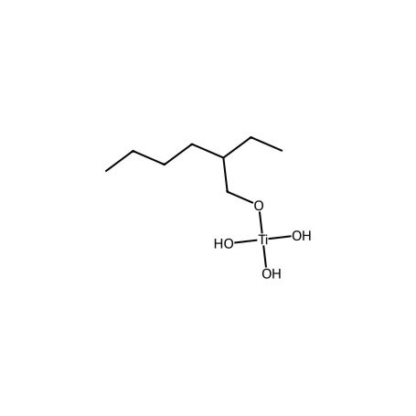 CCCCC(CC)C[O][Ti]([OH])([OH])[OH]